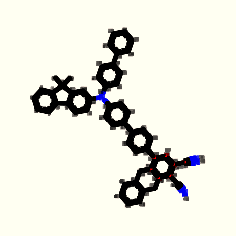 CC1(C)c2ccccc2-c2ccc(N(c3ccc(-c4ccccc4)cc3)c3ccc(-c4ccc(-c5cc(C#N)c(C#N)c6c5C5c7ccccc7C6c6cc(C#N)ccc65)cc4)cc3)cc21